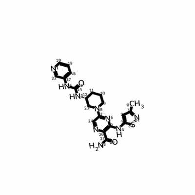 Cc1cc(Nc2nc(N3CCC[C@@H](NC(=O)Nc4cccnc4)C3)cnc2C(N)=O)sn1